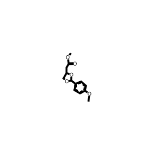 COC(=O)CC1COC(c2ccc(OC)cc2)O1